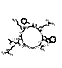 CC(=O)N[C@@H](CCCNC(=N)N)C(=O)N[C@H]1CC(=O)NCCCC[C@@H](C(N)=O)NC(=O)[C@H](Cc2c[nH]c3ccccc23)NC(=O)[C@H](CCCNC(=N)N)NC(=O)[C@@H](Cc2ccccc2)NC(=O)[C@H](CCCCN)NC1=O